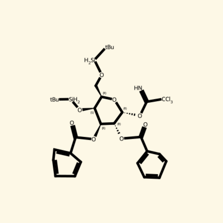 CC(C)(C)[SiH2]OC[C@H]1O[C@H](OC(=N)C(Cl)(Cl)Cl)[C@H](OC(=O)c2ccccc2)[C@@H](OC(=O)c2ccccc2)[C@H]1O[SiH2]C(C)(C)C